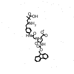 COC(=O)CCC(NC(=O)OCC1c2ccccc2-c2ccccc21)C(=O)NCC(=O)Nc1ccc(C[C@H](N)CC(C)(C)C(=O)O)cc1